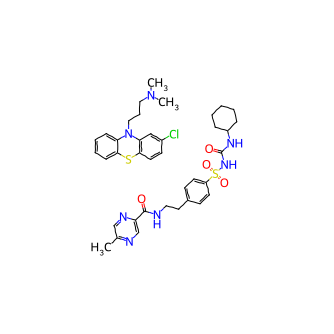 CN(C)CCCN1c2ccccc2Sc2ccc(Cl)cc21.Cc1cnc(C(=O)NCCc2ccc(S(=O)(=O)NC(=O)NC3CCCCC3)cc2)cn1